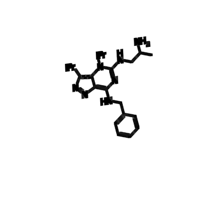 CC(N)CNc1nc(NCc2ccccc2)c2nnc(C(C)C)c-2n1C(C)C